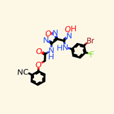 N#Cc1ccccc1OCC(=O)Nc1nonc1/C(=N\O)Nc1ccc(F)c(Br)c1